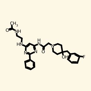 CC(=O)NCCNc1cc(NC(=O)CN2CCC(O)(Cc3cccc(F)c3)CC2)nc(-c2ccccc2)n1